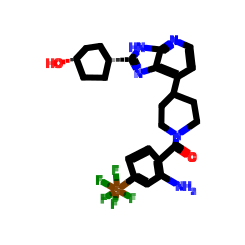 Nc1cc(S(F)(F)(F)(F)F)ccc1C(=O)N1CCC(c2ccnc3[nH]c([C@H]4CC[C@@H](O)CC4)nc23)CC1